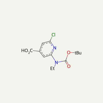 CCN(C(=O)OC(C)(C)C)c1cc(C(=O)O)cc(Cl)n1